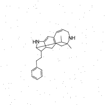 CC1C2NC3=CC4=C(CC3C2CCc2ccccc2)CC1(C)NC/C=C\4